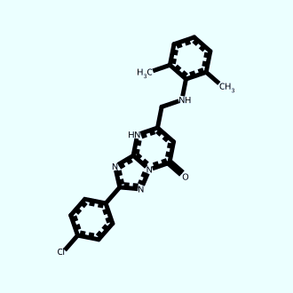 Cc1cccc(C)c1NCc1cc(=O)n2nc(-c3ccc(Cl)cc3)nc2[nH]1